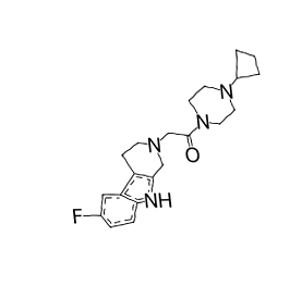 O=C(CN1CCc2c([nH]c3ccc(F)cc23)C1)N1CCN(C2CCC2)CC1